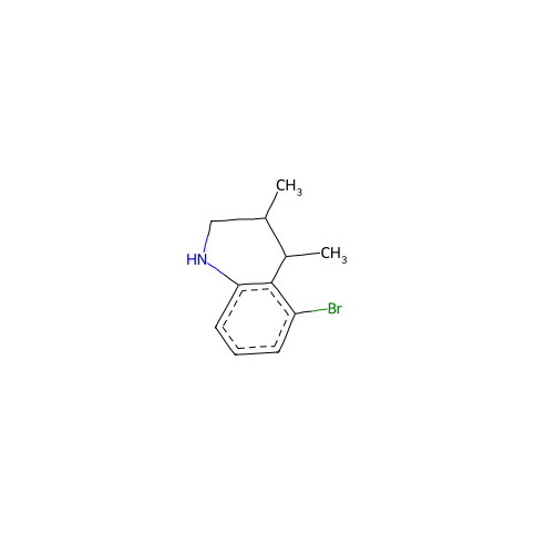 CC1CNc2cccc(Br)c2C1C